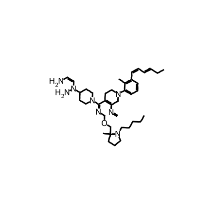 C=NC1=C(/C(=N\COCC2(C)CCCN2CCCCC)N2CCC(N(N)/C=C\N)CC2)CCN(c2cccc(/C=C\C=C\CC)c2C)C1